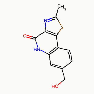 Cc1nc2c(=O)[nH]c3cc(CO)ccc3c2s1